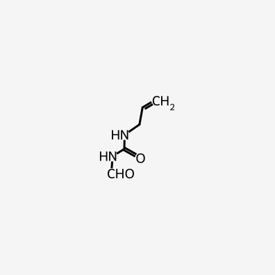 C=CCNC(=O)NC=O